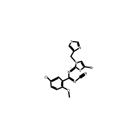 COc1ccc(Cl)cc1C(=NC#N)/N=c1\sc(Br)cn1Cc1cscn1